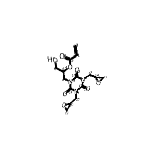 C=CC(=O)OC(CO)Cn1c(=O)n(CC2CO2)c(=O)n(CC2CO2)c1=O